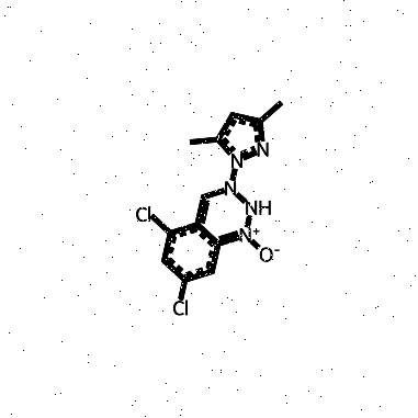 Cc1cc(C)n(N2C=c3c(Cl)cc(Cl)cc3=[N+]([O-])N2)n1